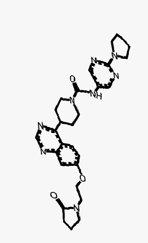 O=C1CCCN1CCOc1ccc2c(C3CCN(C(=O)Nc4cnc(N5CCCC5)nc4)CC3)ncnc2c1